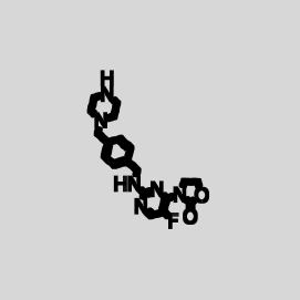 O=C1OCCN1c1nc(NCc2ccc(CN3CCNCC3)cc2)ncc1F